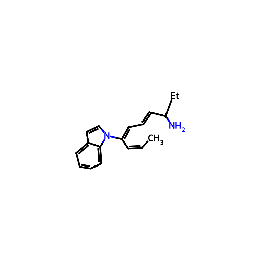 C\C=C/C(=C\C=C\C(N)CC)n1ccc2ccccc21